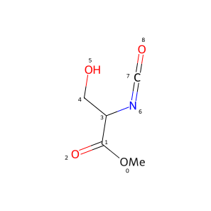 COC(=O)C(CO)N=C=O